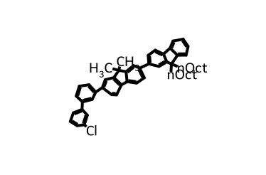 CCCCCCCCC1(CCCCCCCC)c2ccccc2-c2ccc(-c3ccc4c(c3)C(C)(C)c3cc(-c5cccc(-c6cccc(Cl)c6)c5)ccc3-4)cc21